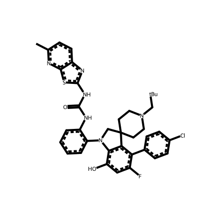 Cc1ccc2nc(NC(=O)Nc3ccccc3N3CC4(CCN(CC(C)(C)C)CC4)c4c(-c5ccc(Cl)cc5)c(F)cc(O)c43)sc2n1